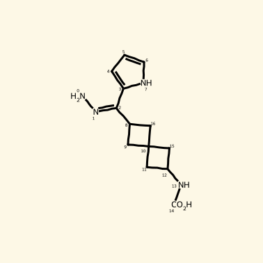 NN=C(c1ccc[nH]1)C1CC2(CC(NC(=O)O)C2)C1